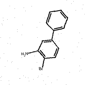 Nc1cc(-c2ccccc2)ccc1Br